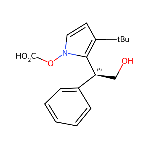 CC(C)(C)c1ccn(OC(=O)O)c1[C@@H](CO)c1ccccc1